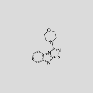 c1ccc2c(c1)nc1snc(N3CCOCC3)n12